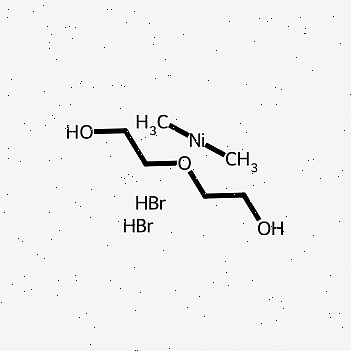 Br.Br.OCCOCCO.[CH3][Ni][CH3]